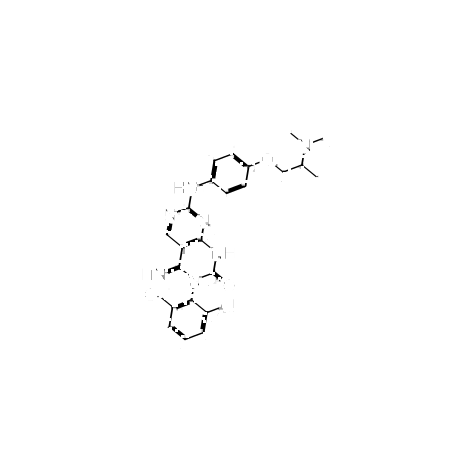 CC(COc1ccc(Nc2ncc3c(=N)n(-c4c(Cl)cccc4Cl)c(=O)[nH]c3n2)cc1)N(C)C